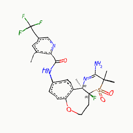 Cc1cc(C(F)(F)F)cnc1C(=O)Nc1ccc2c(c1)[C@@]1(C)N=C(N)C(C)(C)S(=O)(=O)[C@]1(F)CCO2